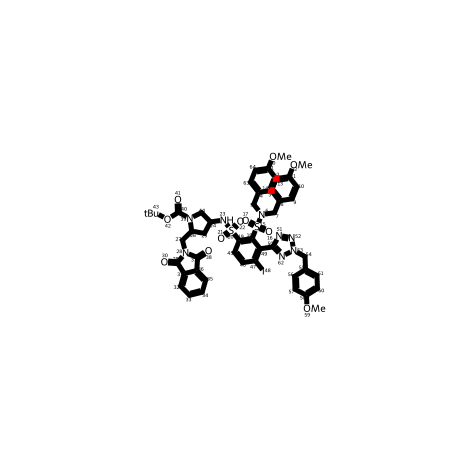 COc1ccc(CN(Cc2ccc(OC)cc2)S(=O)(=O)c2c(S(=O)(=O)NC3CC(CN4C(=O)c5ccccc5C4=O)N(C(=O)OC(C)(C)C)C3)ccc(I)c2-c2nnn(Cc3ccc(OC)cc3)n2)cc1